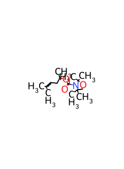 CC(C)=CCC(C)OC(=O)N1C(C)(C)COC1(C)C